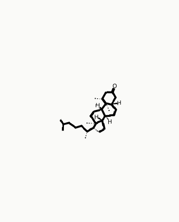 CC(C)CCC[C@@H](C)[C@H]1CC[C@H]2[C@@H]3CC[C@H]4CC(=O)C[C@@H](C)[C@]4(C)[C@H]3CC[C@]12C